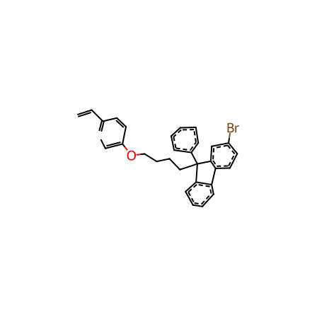 C=CC(=C)/C=C\C(=C/C)OCCCCC1(c2ccccc2)c2ccccc2-c2ccc(Br)cc21